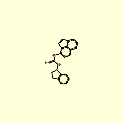 N=C(Nc1ccc2cccc3c2c1C=C3)NN1CCc2ccccc21